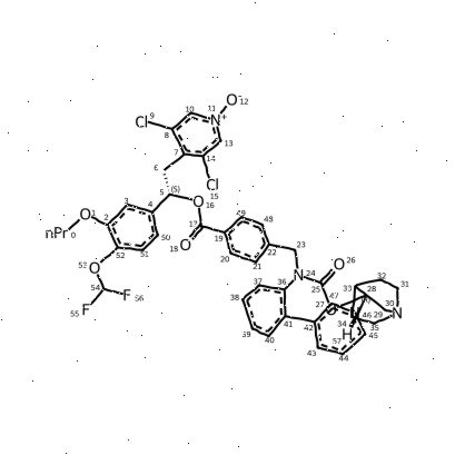 CCCOc1cc([C@H](Cc2c(Cl)c[n+]([O-])cc2Cl)OC(=O)c2ccc(CN(C(=O)O[C@H]3CN4CCC3CC4)c3ccccc3-c3cccnc3)cc2)ccc1OC(F)F